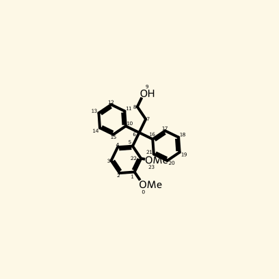 COc1cccc(C(CCO)(c2ccccc2)c2ccccc2)c1OC